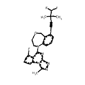 Cc1nnc2nc(N3CCOCc4c(C#CC(C)(C)C(F)F)cccc43)c3c(F)cccc3n12